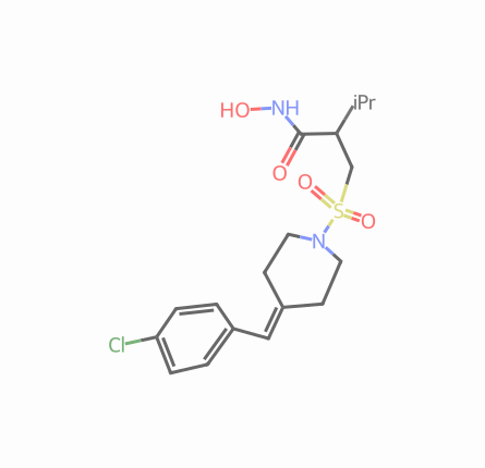 CC(C)C(CS(=O)(=O)N1CCC(=Cc2ccc(Cl)cc2)CC1)C(=O)NO